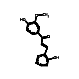 COc1cc(C(=O)C=Cc2ccccc2O)ccc1O